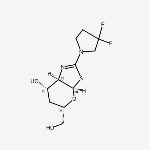 OC[C@@H]1C[C@H](O)[C@H]2N=C(N3CCC(F)(F)C3)S[C@H]2O1